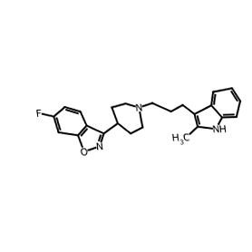 Cc1[nH]c2ccccc2c1CCCN1CCC(c2noc3cc(F)ccc23)CC1